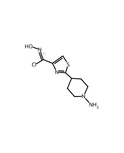 NN1CCC(c2nc(/C(Cl)=N/O)cs2)CC1